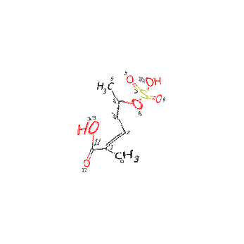 CC(=CCC(C)OS(=O)(=O)O)C(=O)O